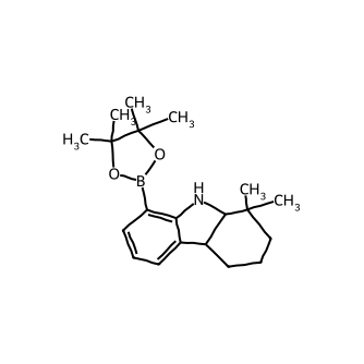 CC1(C)CCCC2c3cccc(B4OC(C)(C)C(C)(C)O4)c3NC21